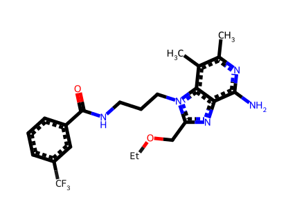 CCOCc1nc2c(N)nc(C)c(C)c2n1CCCNC(=O)c1cccc(C(F)(F)F)c1